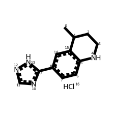 CC1CCNc2ccc(-c3ncn[nH]3)cc21.Cl